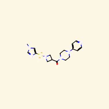 Cn1cnc(S(=O)(=O)N2CC(C(=O)N3CCN(c4ccncc4)CC3)C2)c1